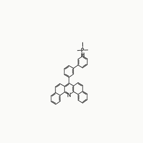 C[PH](C)(I)c1cccc(-c2cccc(-c3c4ccc5ccccc5c4nc4c3ccc3ccccc34)c2)c1